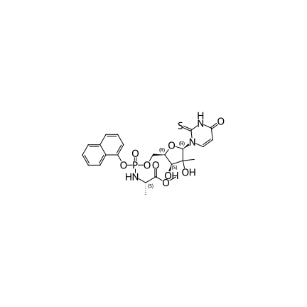 COC(=O)[C@H](C)NP(=O)(OC[C@H]1O[C@@H](n2ccc(=O)[nH]c2=S)C(C)(O)[C@H]1O)Oc1cccc2ccccc12